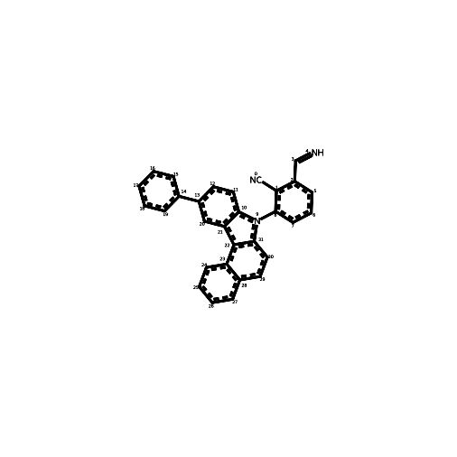 N#Cc1c(C=N)cccc1-n1c2ccc(-c3ccccc3)cc2c2c3ccccc3ccc21